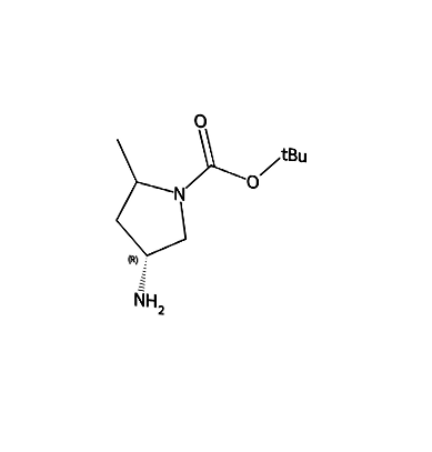 CC1C[C@@H](N)CN1C(=O)OC(C)(C)C